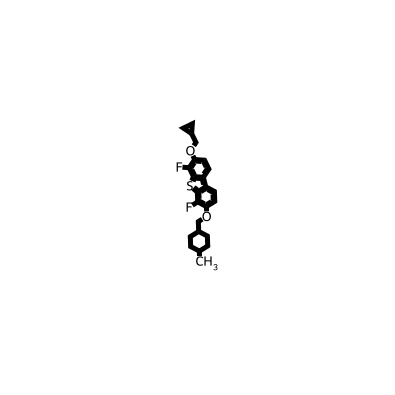 CC1CCC(COc2ccc3c(sc4c(F)c(OCC5CC5)ccc43)c2F)CC1